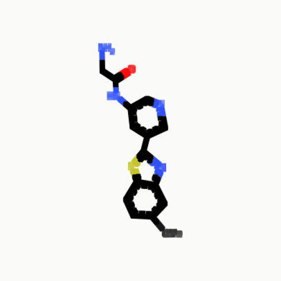 COc1ccc2sc(-c3cncc(NC(=O)CN)c3)nc2c1